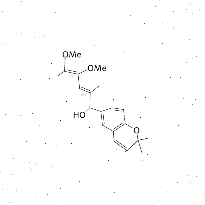 CO/C(C)=C(/C=C(\C)C(O)c1ccc2c(c1)C=CC(C)(C)O2)OC